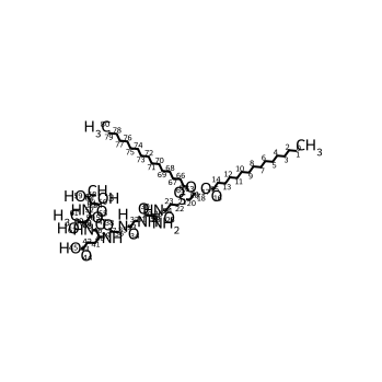 CCCCCCCCCCCCCCCC(=O)OC[C@H](CSCCC(=O)N[C@@H](N)C(=O)NCC(=O)NCC(=O)NC(CCC(=O)O)C(=O)N[C@H](C(=O)N[C@H](C(=O)O)[C@@H](C)O)[C@@H](C)O)OC(=O)CCCCCCCCCCCCCCC